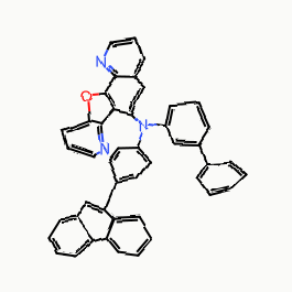 c1ccc(-c2cccc(N(c3ccc(-c4cc5ccccc5c5ccccc45)cc3)c3cc4cccnc4c4oc5cccnc5c34)c2)cc1